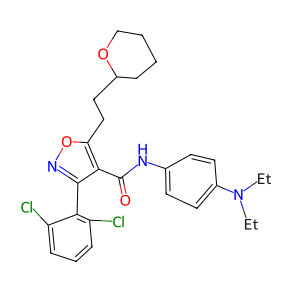 CCN(CC)c1ccc(NC(=O)c2c(-c3c(Cl)cccc3Cl)noc2CCC2CCCCO2)cc1